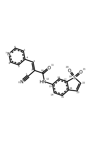 N#CC(=Cc1ccncc1)C(=O)Nc1ccc2c(c1)S(=O)(=O)C=C2